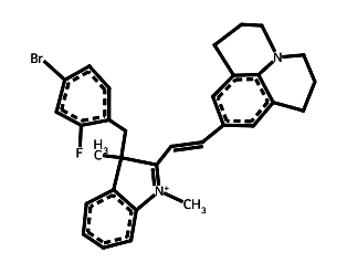 C[N+]1=C(/C=C/c2cc3c4c(c2)CCCN4CCC3)C(C)(Cc2ccc(Br)cc2F)c2ccccc21